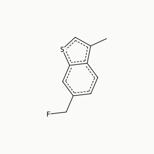 Cc1csc2cc(CF)ccc12